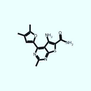 Cc1nc(-c2cc(C)c(C)o2)c2c(N)c(C(N)=O)sc2n1